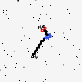 CCCCCCCCCCCCn1nnnc1CCC(=O)OC